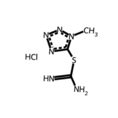 Cl.Cn1nnnc1SC(=N)N